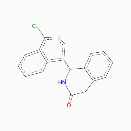 O=C1Cc2ccccc2C(c2ccc(Cl)c3ccccc23)N1